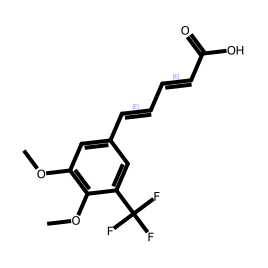 COc1cc(/C=C/C=C/C(=O)O)cc(C(F)(F)F)c1OC